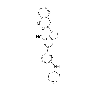 N#Cc1cc(-c2ccnc(NC3CCOCC3)n2)cc2c1N(C(=O)Cc1cccnc1Cl)CC2